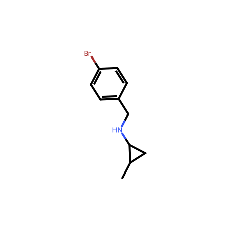 CC1CC1NCc1ccc(Br)cc1